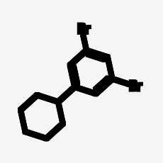 Brc1cc(Br)cc(C2CCCCC2)c1